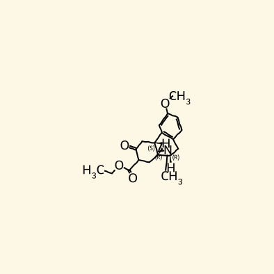 CCOC(=O)C1C[C@H]2[C@H]3Cc4ccc(OC)cc4[C@@]2(CCN3C)CC1=O